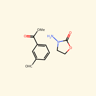 COC(=O)c1cccc(C=O)c1.NN1CCOC1=O